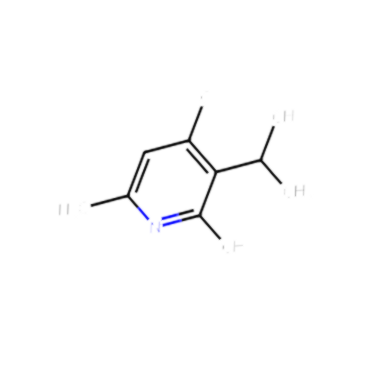 Cc1cc(C)c(C(C)C)c(C)n1